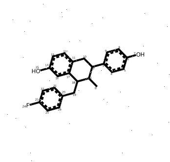 CC1C(c2ccc(O)cc2)Cc2ccc(O)cc2C1Cc1ccc(F)cc1